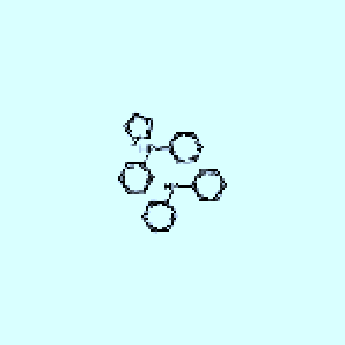 c1ccc(Pc2ccccc2)cc1.c1ccc(Pc2ccccc2)cc1.c1ccsc1